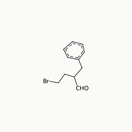 O=CC(CCBr)Cc1ccccc1